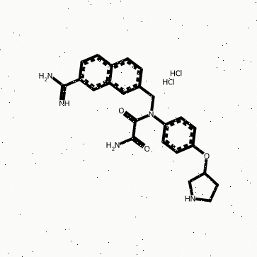 Cl.Cl.N=C(N)c1ccc2ccc(CN(C(=O)C(N)=O)c3ccc(OC4CCNC4)cc3)cc2c1